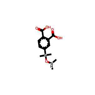 C[SiH](C)O[Si](C)(C)c1ccc(C(=O)O)c(C(=O)O)c1